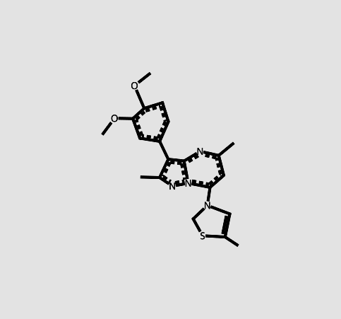 COc1ccc(-c2c(C)nn3c(N4C=C(C)SC4)cc(C)nc23)cc1OC